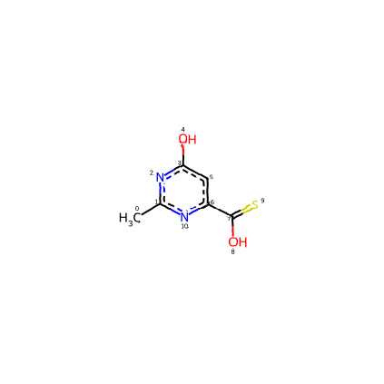 Cc1nc(O)cc(C(O)=S)n1